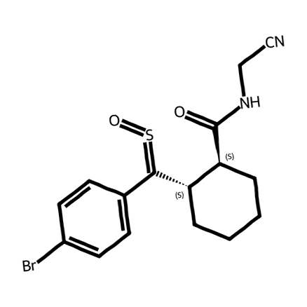 N#CCNC(=O)[C@H]1CCCC[C@@H]1C(=S=O)c1ccc(Br)cc1